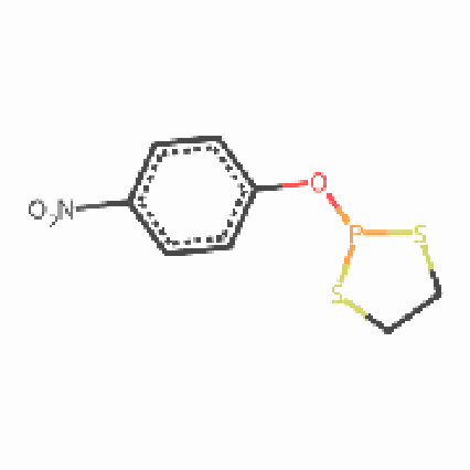 O=[N+]([O-])c1ccc(OP2SCCS2)cc1